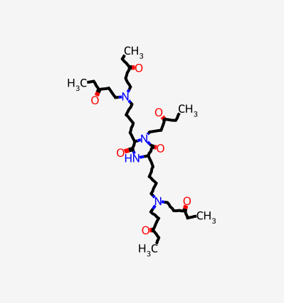 CCC(=O)CCN(CCCCC1NC(=O)C(CCCCN(CCC(=O)CC)CCC(=O)CC)N(CCC(=O)CC)C1=O)CCC(=O)CC